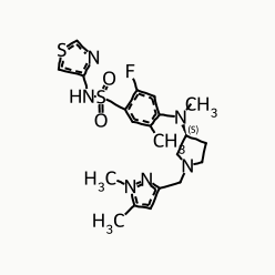 Cc1cc(S(=O)(=O)Nc2cscn2)c(F)cc1N(C)[C@H]1CCN(Cc2cc(C)n(C)n2)C1